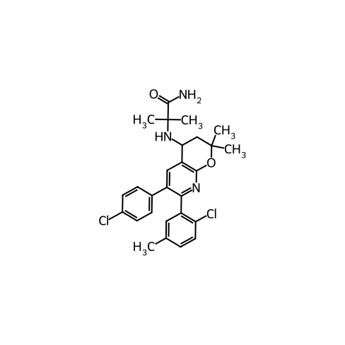 Cc1ccc(Cl)c(-c2nc3c(cc2-c2ccc(Cl)cc2)C(NC(C)(C)C(N)=O)CC(C)(C)O3)c1